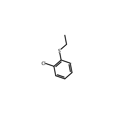 CCSc1[c]cccc1Cl